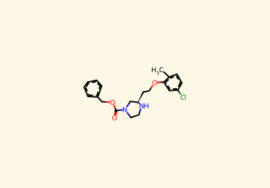 Cc1ccc(Cl)cc1OCC[C@@H]1CN(C(=O)OCc2ccccc2)CCN1